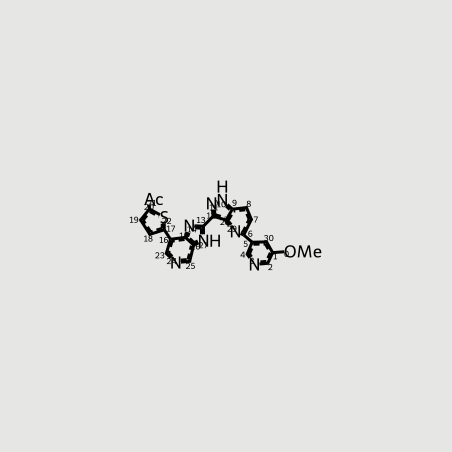 COc1cncc(-c2ccc3[nH]nc(-c4nc5c(-c6ccc(C(C)=O)s6)cncc5[nH]4)c3n2)c1